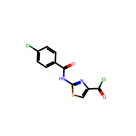 O=C(Nc1nc(C(=O)Cl)cs1)c1ccc(Cl)cc1